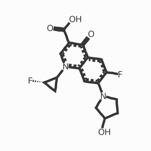 O=C(O)c1cn(C2C[C@@H]2F)c2cc(N3CCC(O)C3)c(F)cc2c1=O